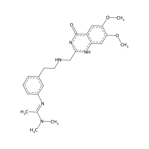 COc1cc2[nH]c(CNCCc3cccc(/N=C(\C)N(C)C)c3)nc(=O)c2cc1OC